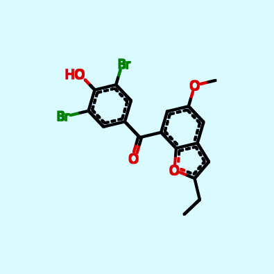 CCc1cc2cc(OC)cc(C(=O)c3cc(Br)c(O)c(Br)c3)c2o1